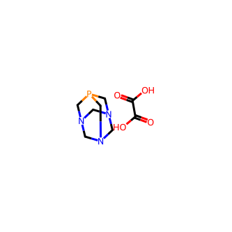 C1N2CN3CN1CP(C2)C3.O=C(O)C(=O)O